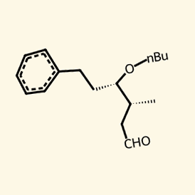 CCCCO[C@@H](CCc1ccccc1)[C@H](C)CC=O